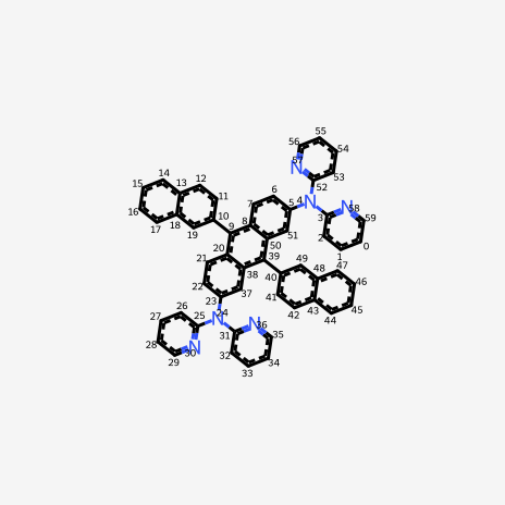 c1ccc(N(c2ccc3c(-c4ccc5ccccc5c4)c4ccc(N(c5ccccn5)c5ccccn5)cc4c(-c4ccc5ccccc5c4)c3c2)c2ccccn2)nc1